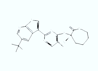 N[C@]1(Nc2nc(-c3c[nH]c4ncc(C(F)(F)F)cc34)ncc2F)CCCCNC1=O